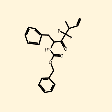 C=CC(C)C(F)(F)C(=O)C(Cc1ccccc1)NC(=O)OCc1ccccc1